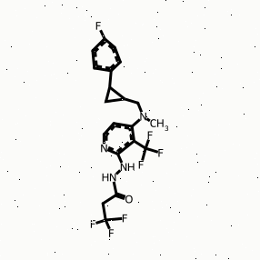 CN(CC1CC1c1ccc(F)cc1)c1ccnc(NNC(=O)CC(F)(F)F)c1C(F)(F)F